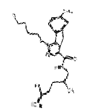 CCC(CC)CCC(C)CNC(=O)c1nn(CCCCCCl)c2c1Cc1cc(C)ccc1-2